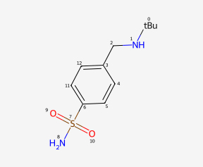 CC(C)(C)NCc1ccc(S(N)(=O)=O)cc1